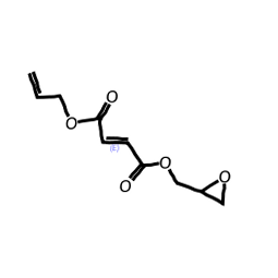 C=CCOC(=O)/C=C/C(=O)OCC1CO1